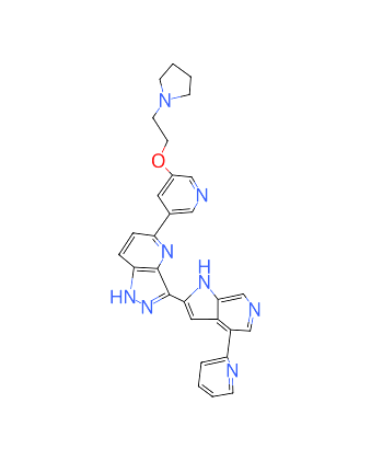 c1ccc(-c2cncc3[nH]c(-c4n[nH]c5ccc(-c6cncc(OCCN7CCCC7)c6)nc45)cc23)nc1